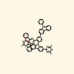 Cc1nc(C)nc(-c2ccc3c4ccc(-c5nc(C)nc(C)n5)cc4n(-c4ccc(-c5ccc6c(c5)c5ccccc5n6-c5ccccc5)cc4-c4nc(-c5ccccc5)nc(-c5ccccc5)n4)c3c2)n1